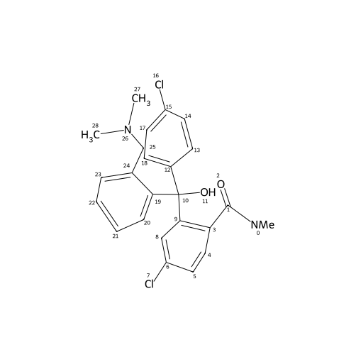 CNC(=O)c1ccc(Cl)cc1C(O)(c1ccc(Cl)cc1)c1ccccc1CN(C)C